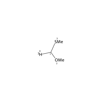 [3H]C(OC)SC